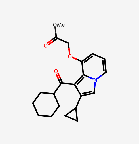 COC(=O)COc1cccn2cc(C3CC3)c(C(=O)C3CCCCC3)c12